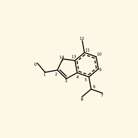 CCC1=Cc2c(C(C)C)ccc(C)c2[CH]1